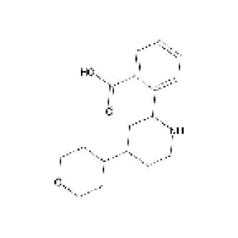 O=C(O)c1ccccc1C1CC(C2CCOCC2)CCN1